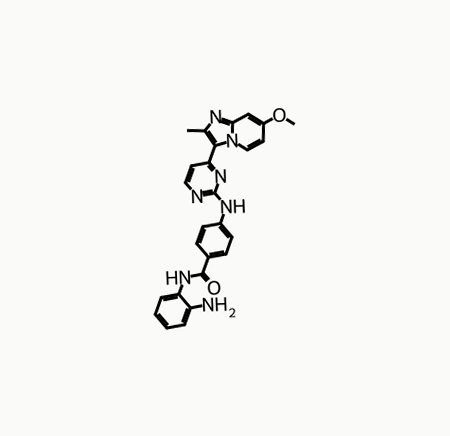 COc1ccn2c(-c3ccnc(Nc4ccc(C(=O)Nc5ccccc5N)cc4)n3)c(C)nc2c1